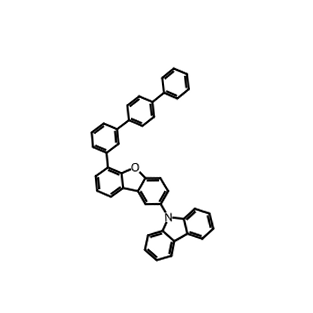 c1ccc(-c2ccc(-c3cccc(-c4cccc5c4oc4ccc(-n6c7ccccc7c7ccccc76)cc45)c3)cc2)cc1